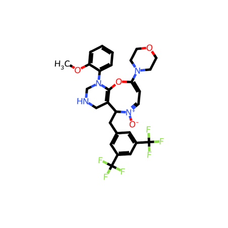 COc1ccccc1N1CNCC2=C1OC(N1CCOCC1)=CC=[N+]([O-])C2Cc1cc(C(F)(F)F)cc(C(F)(F)F)c1